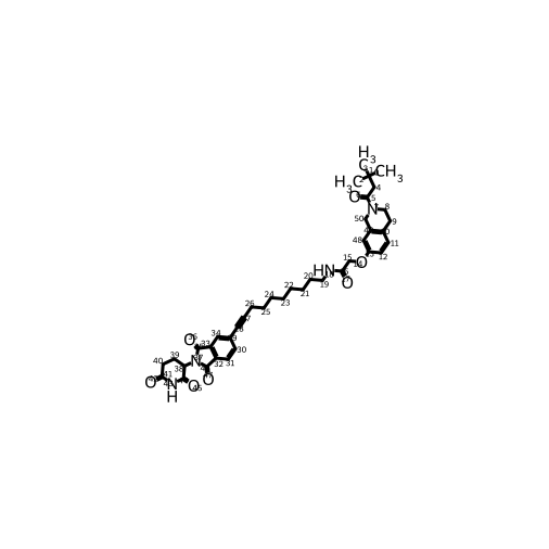 CC(C)(C)CC(=O)N1CCc2ccc(OCC(=O)NCCCCCCCCC#Cc3ccc4c(c3)C(=O)N(C3CCC(=O)NC3=O)C4=O)cc2C1